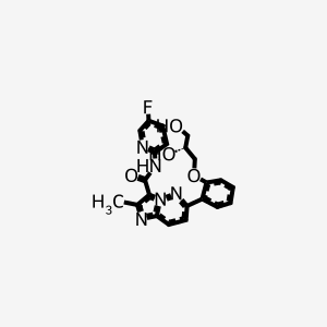 Cc1nc2ccc(-c3ccccc3OC[C@H](O)CO)nn2c1C(=O)Nc1ccc(F)cn1